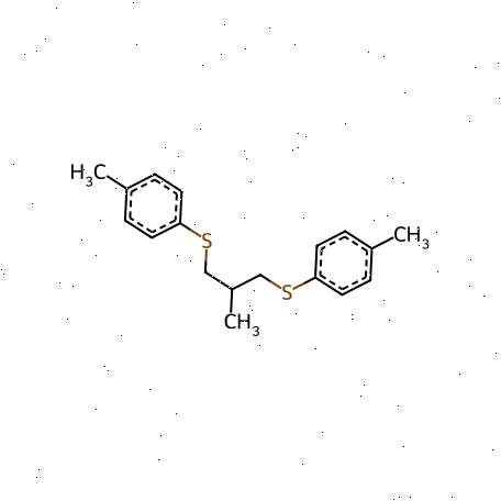 Cc1ccc(SCC(C)CSc2ccc(C)cc2)cc1